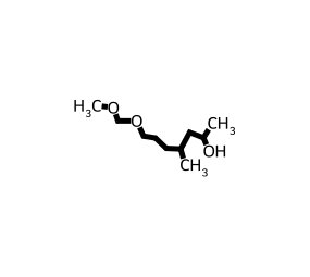 COCOCCCC(C)CC(C)O